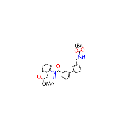 COC(=O)Cc1ccccc1NC(=O)c1cccc(-c2cccc(CNC(=O)OC(C)(C)C)c2)c1